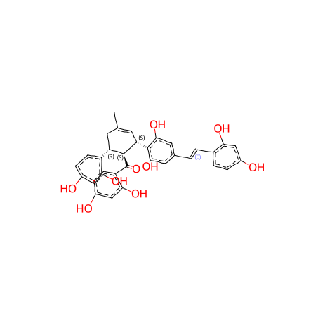 CC1=C[C@H](c2c(O)cc(/C=C/c3ccc(O)cc3O)cc2O)[C@@H](C(=O)c2ccc(O)cc2O)[C@H](c2ccc(O)cc2O)C1